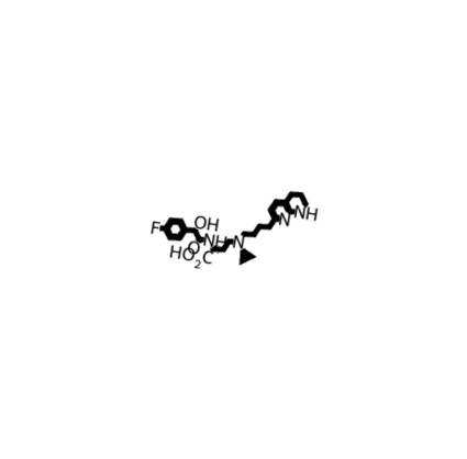 O=C(N[C@@H](CCN(CCCCc1ccc2c(n1)NCCC2)C1CC1)C(=O)O)C(O)c1ccc(F)cc1